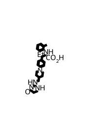 CCc1cccc(C)c1NC(Cc1ccc(N2CCC(CNC3=NC(=O)CCN3)CC2)cc1)C(=O)O